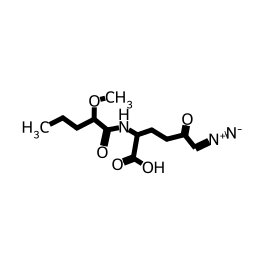 CCCC(OC)C(=O)NC(CCC(=O)C=[N+]=[N-])C(=O)O